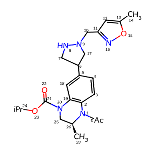 CC(=O)N1c2ccc(C3CNN(Cc4cc(C)on4)C3)cc2N(C(=O)OC(C)C)C[C@@H]1C